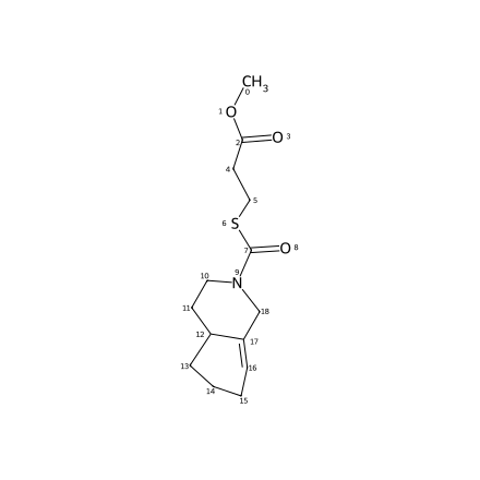 COC(=O)CCSC(=O)N1CCC2CCCC=C2C1